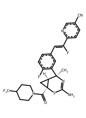 C[C@]1(c2cc(C=C(F)c3ccc(C#N)cn3)ccc2F)N=C(N)S[C@@]2(C(=O)N3CCC(C(F)(F)F)CC3)C[C@H]21